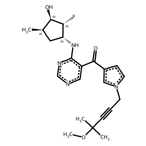 [CH2][C@@H]1C[C@@H](Nc2ncncc2C(=O)c2ccn(CC#CC(C)(C)OC)c2)[C@@H](F)[C@@H]1O